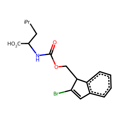 CC(C)CC(NC(=O)OCC1C(Br)=Cc2ccccc21)C(=O)O